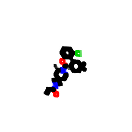 C=CC(=O)N1CC2(CCN(C(=O)[C@H]3CCC(C)(C)C[C@@H]3c3ccccc3Cl)[C@@H](C)C2)C1